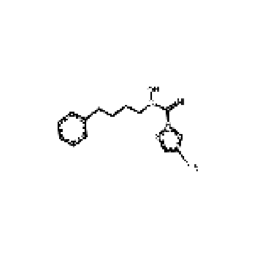 N=C(N(O)CCCCc1ccccc1)n1cc(N)cn1